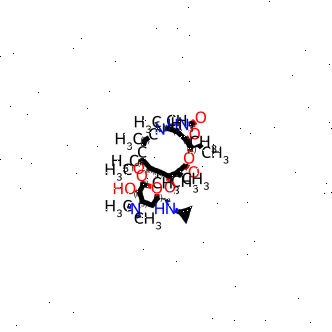 CC[C@H]1OC(=O)C(C)(C)C(=O)[C@H](C)[C@@H](O[C@@H]2O[C@H](CNC3CC3)C[C@H](N(C)C)[C@H]2O)[C@](C)(OC)C[C@@H](C)CN(C)[C@H](C)[C@H]2NC(=O)O[C@@]21C